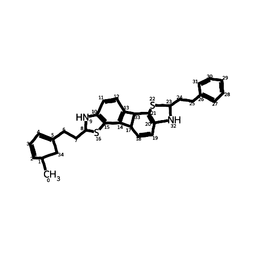 CC1C=CC=C(CCC2Nc3ccc4c(c3S2)C2C=CC3=C(SC(CCc5ccccc5)N3)C42)C1